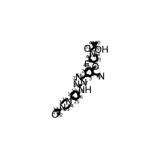 N#Cc1cc(-c2ncnc(Nc3ccc(N4CCN(C5COC5)CC4)cc3)n2)ccc1OC1CCN(C(=O)C2(O)CC2)CC1F